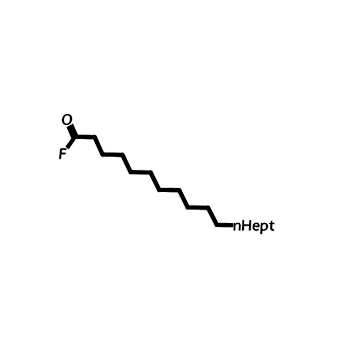 CCCCCCCCCCCCCCCCCC(=O)F